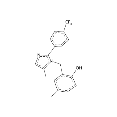 Cc1ccc(O)c(Cn2c(C)cnc2-c2ccc(C(F)(F)F)cc2)c1